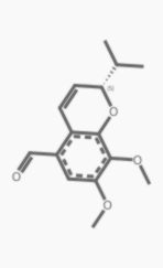 COc1cc(C=O)c2c(c1OC)O[C@@H](C(C)C)C=C2